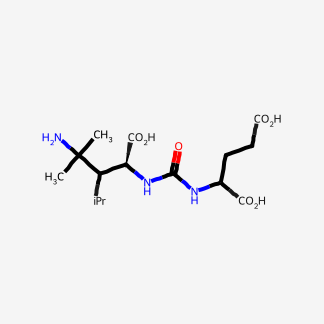 CC(C)C([C@H](NC(=O)NC(CCC(=O)O)C(=O)O)C(=O)O)C(C)(C)N